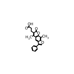 Cc1c(CCC(=O)O)c(=O)oc2c(C)c3occ(-c4ccccc4)c3cc12